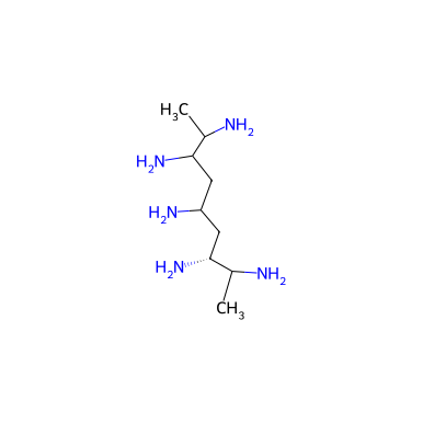 CC(N)C(N)CC(N)C[C@@H](N)C(C)N